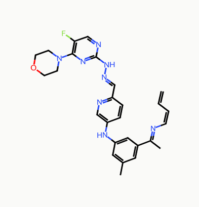 C=C/C=C\N=C(/C)c1cc(C)cc(Nc2ccc(/C=N/Nc3ncc(F)c(N4CCOCC4)n3)nc2)c1